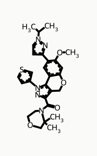 COc1cc2c(cc1-c1ccn(C(C)C)n1)-c1c(c(C(=O)N3CCOCC3(C)C)nn1-c1ccsc1)CO2